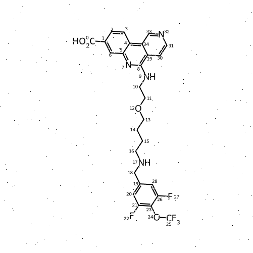 O=C(O)c1ccc2c(c1)nc(NCCOCCCCNCc1cc(F)c(OC(F)(F)F)c(F)c1)c1ccncc12